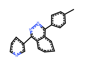 Cc1ccc(-c2nnc(-c3cccnc3)c3ccccc23)cc1